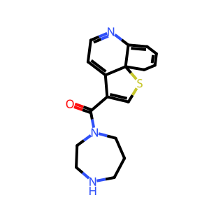 O=C(C1=CSC23CC=CC=C2N=CC=C13)N1CCCNCC1